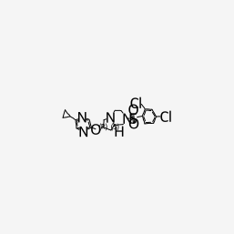 O=S(=O)(c1ccc(Cl)cc1Cl)N1CCN2C[C@H](Oc3cnc(C4CC4)cn3)C[C@H]2C1